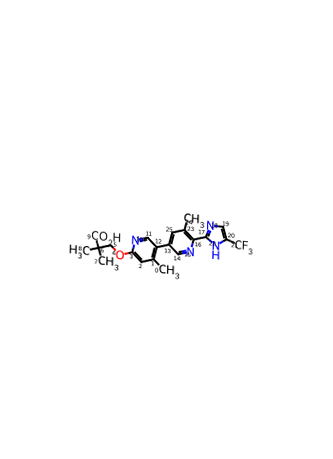 Cc1cc(OCC(C)(C)C(=O)O)ncc1-c1cnc(-c2ncc(C(F)(F)F)[nH]2)c(C)c1